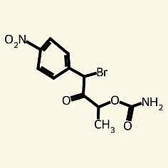 CC(OC(N)=O)C(=O)C(Br)c1ccc([N+](=O)[O-])cc1